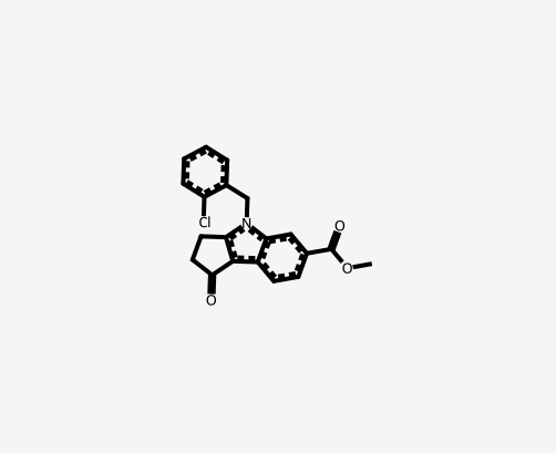 COC(=O)c1ccc2c3c(n(Cc4ccccc4Cl)c2c1)CCC3=O